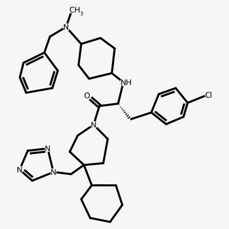 CN(Cc1ccccc1)C1CCC(N[C@H](Cc2ccc(Cl)cc2)C(=O)N2CCC(Cn3cncn3)(C3CCCCC3)CC2)CC1